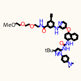 C#Cc1cc(Nc2cc(Oc3ccc(NC(=O)Nc4cc(C(C)(C)C)nn4-c4ccc(N(C)C)cc4)c4ccccc34)ccn2)cc(C(=O)NCCOCCOCCOC)c1